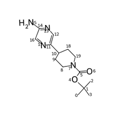 CC(C)(C)OC(=O)N1CCC(c2cnc(N)cn2)CC1